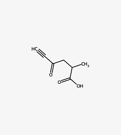 C#CC(=O)CC(C)C(=O)O